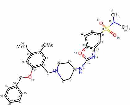 COc1cc(CN2CCC(Nc3nc4cc(S(=O)(=O)N(C)C)ccc4o3)CC2)c(OCc2ccccc2)cc1OC